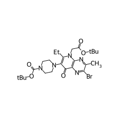 CCc1c(N2CCN(C(=O)OC(C)(C)C)CC2)c(=O)c2nc(Br)c(C)nc2n1CC(=O)OC(C)(C)C